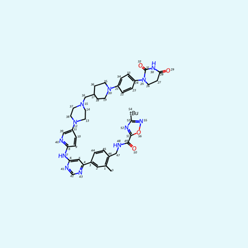 Cc1cc(-c2cc(Nc3ccc(N4CCN(CC5CCN(c6ccc(N7CCC(=O)NC7=O)cc6)CC5)CC4)cn3)ncn2)ccc1CNC(=O)c1nc(C(C)(C)C)no1